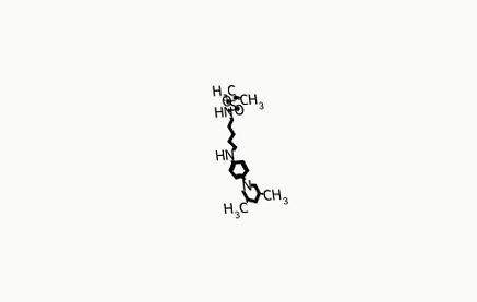 CC(C)S(=O)(=O)NCCCCCNc1ccc(N2C[C@H](C)C[C@H](C)C2)cc1